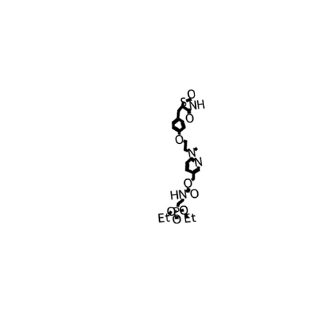 CCOP(=O)(CCNC(=O)OCc1ccc(N(C)CCOc2ccc(CC3SC(=O)NC3=O)cc2)nc1)OCC